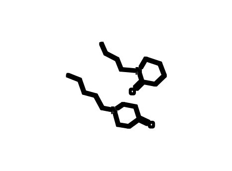 CCCCCN1CCC(=O)CC1.CCCCN1CCCCC1=O